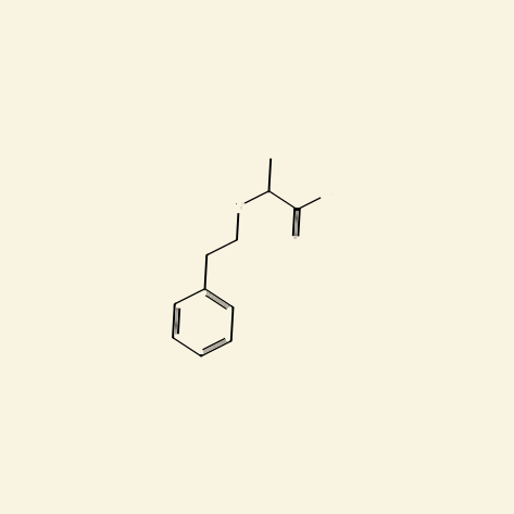 CC(NCCc1ccccc1)C(=O)O